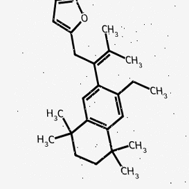 CCc1cc2c(cc1C(Cc1ccno1)=C(C)C)C(C)(C)CCC2(C)C